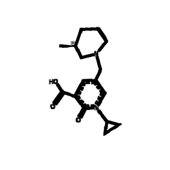 C[C@H]1CCCN(Cc2cc(C(=O)O)c(=O)n(C3CC3)c2)C1